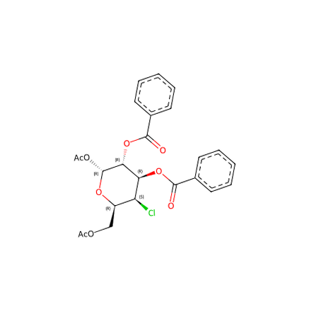 CC(=O)OC[C@H]1O[C@H](OC(C)=O)[C@H](OC(=O)c2ccccc2)[C@@H](OC(=O)c2ccccc2)[C@H]1Cl